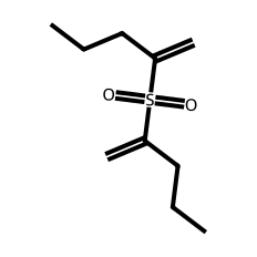 C=C(CCC)S(=O)(=O)C(=C)CCC